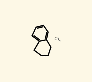 C.c1ccc2c(c1)CCCC2